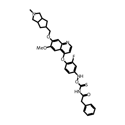 COc1cc2c(Oc3ccc(NOC(=S)NC(=O)Cc4ccccc4)cc3F)ccnc2cc1OCC1CC2CN(C)CC2C1